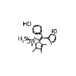 CC1=C(C)C(C)[C]([Zr]([CH3])([CH3])(=[SiH2])[CH]2C=C(c3cccs3)c3ccccc32)=C1C.Cl.Cl